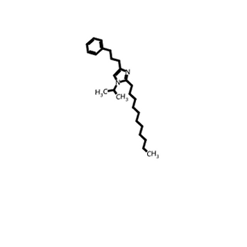 CCCCCCCCCCCc1nc(CCCc2ccccc2)cn1C(C)C